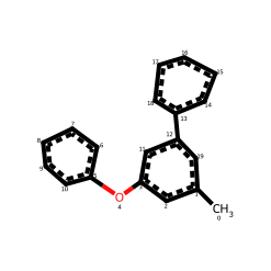 Cc1cc(Oc2ccccc2)cc(-c2ccccc2)c1